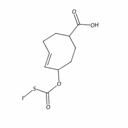 O=C(OC1/C=C/CCC(C(=O)O)CC1)SI